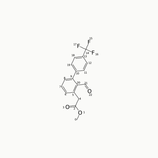 COC(=O)Cc1cccc(-c2ccc(C(F)(F)F)cc2)c1C=O